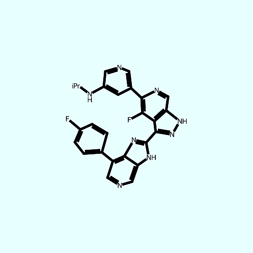 CC(C)Nc1cncc(-c2ncc3[nH]nc(-c4nc5c(-c6ccc(F)cc6)cncc5[nH]4)c3c2F)c1